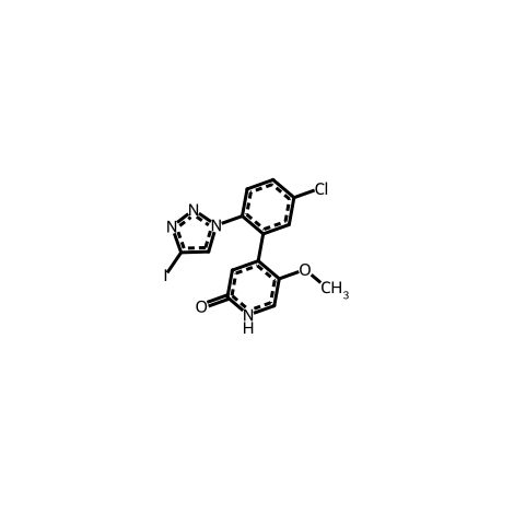 COc1c[nH]c(=O)cc1-c1cc(Cl)ccc1-n1cc(I)nn1